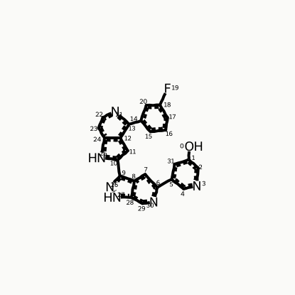 Oc1cncc(-c2cc3c(-c4cc5c(-c6cccc(F)c6)nccc5[nH]4)n[nH]c3cn2)c1